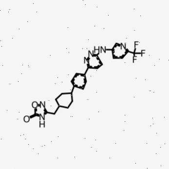 O=c1[nH]c(CC2CCC(c3ccc(-c4ccc(Nc5ccc(C(F)(F)F)nc5)nn4)cc3)CC2)no1